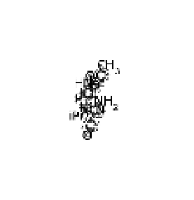 Cc1ccc(F)c(S(=O)(=O)Nc2cc(F)c(-c3nn(C(C)C)c4c(C5CCC(=O)CC5)cnc(N)c34)cc2F)c1